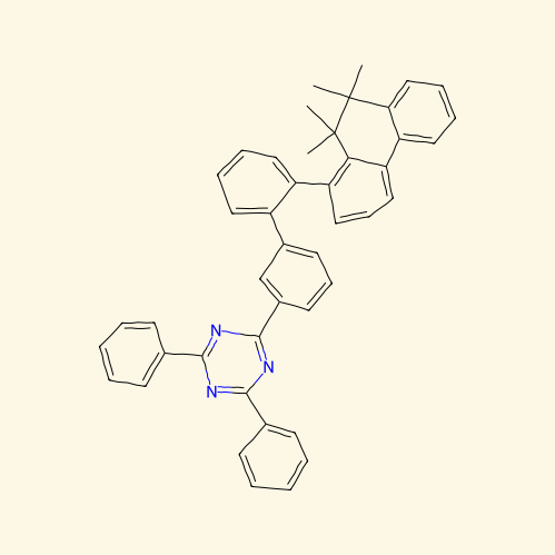 CC1(C)c2ccccc2-c2cccc(-c3ccccc3-c3cccc(-c4nc(-c5ccccc5)nc(-c5ccccc5)n4)c3)c2C1(C)C